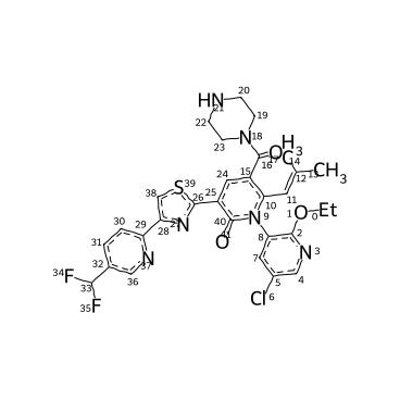 CCOc1ncc(Cl)cc1-n1c(C=C(C)C)c(C(=O)N2CCNCC2)cc(-c2nc(-c3ccc(C(F)F)cn3)cs2)c1=O